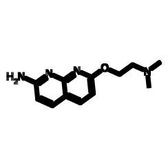 CN(C)CCOc1ccc2ccc(N)nc2n1